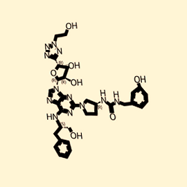 O=C(NCc1cccc(O)c1)N[C@@H]1CCN(c2nc(N[C@H](CO)Cc3ccccc3)c3ncn([C@@H]4O[C@H](c5nnn(CCO)n5)[C@@H](O)[C@H]4O)c3n2)C1